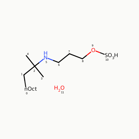 CCCCCCCCCC(C)(C)NCCCOS(=O)(=O)O.O